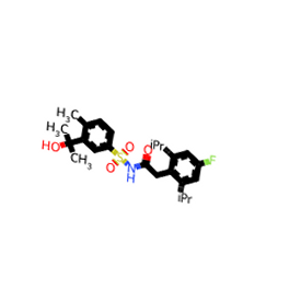 Cc1ccc(S(=O)(=O)NC(=O)Cc2c(C(C)C)cc(F)cc2C(C)C)cc1C(C)(C)O